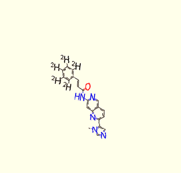 [2H]c1c([2H])c([2H])c(/C=C/C(=O)Nc2cc3nc(-c4cncn4C)ccc3cn2)c([2H])c1[2H]